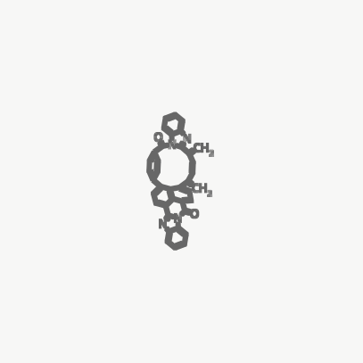 C=c1ccc(=C)c2nc3ccccc3n2c(=O)c2ccc(cc2)c2ccc3c4c(ccc1c24)c(=O)n1c2ccccc2nc31